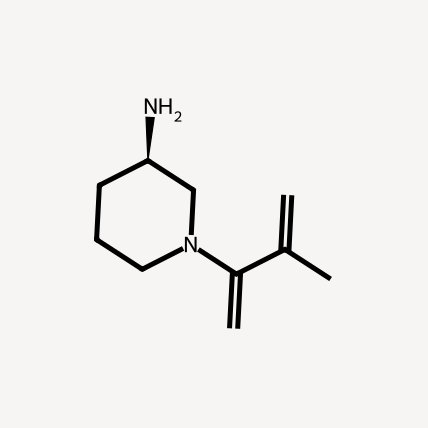 C=C(C)C(=C)N1CCC[C@@H](N)C1